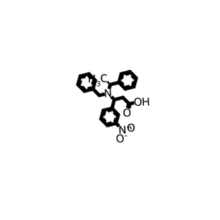 C[C@@H](c1ccccc1)N(Cc1ccccc1)C(CC(=O)O)c1cccc([N+](=O)[O-])c1